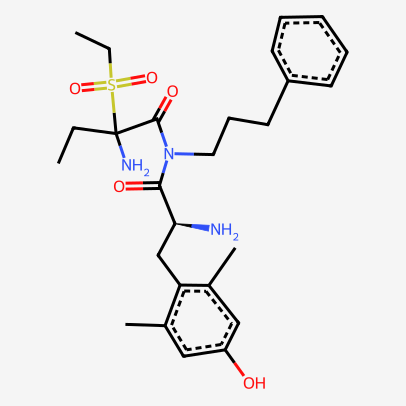 CCC(N)(C(=O)N(CCCc1ccccc1)C(=O)[C@@H](N)Cc1c(C)cc(O)cc1C)S(=O)(=O)CC